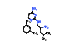 CC(C)CC(N)CNc1nccc(N)n1.Cc1cccc(C)c1